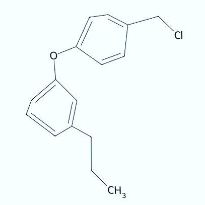 CCCc1cccc(Oc2ccc(CCl)cc2)c1